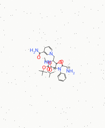 CCOC(=O)[C@@](CC(C)C)(C(=O)C(CN1C=CCC(C(N)=O)=C1)NC(=O)OC(C)(C)C)N(C(=O)[C@H](C)N)c1ccccc1